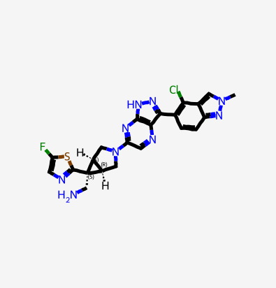 Cn1cc2c(Cl)c(-c3n[nH]c4nc(N5C[C@@H]6[C@H](C5)[C@]6(CN)c5ncc(F)s5)cnc34)ccc2n1